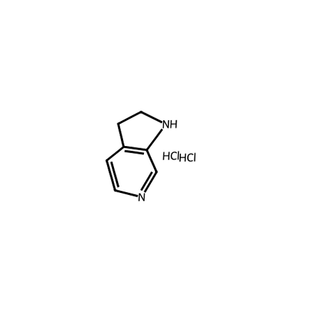 Cl.Cl.c1cc2c(cn1)NCC2